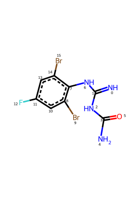 N=C(NC(N)=O)Nc1c(Br)cc(F)cc1Br